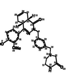 COc1ccc(C2=NN(Cc3cccc(CN4CCNC(=O)C4)c3)C(=O)[C@H]3CC=CC[C@@H]23)cc1OC